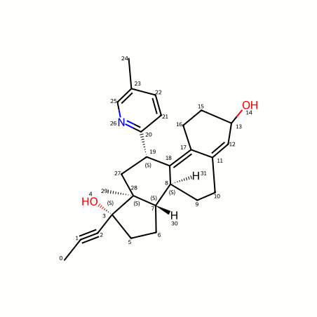 CC#C[C@]1(O)CC[C@H]2[C@@H]3CCC4=CC(O)CCC4=C3[C@@H](c3ccc(C)cn3)C[C@@]21C